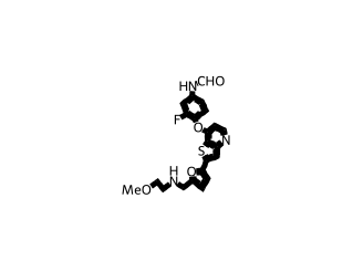 COCCNCc1ccc(-c2cc3nccc(Oc4ccc(NC=O)cc4F)c3s2)o1